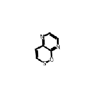 C1=Cc2nccnc2OS1